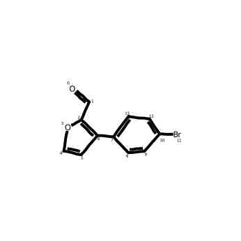 O=Cc1occc1-c1ccc(Br)cc1